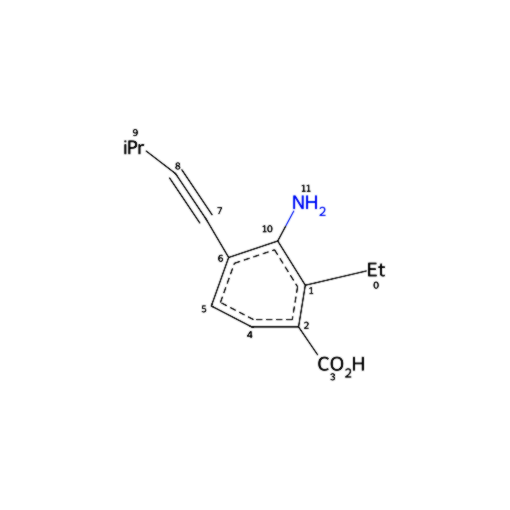 CCc1c(C(=O)O)ccc(C#CC(C)C)c1N